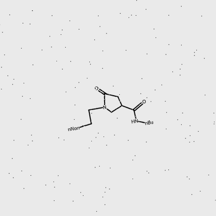 CCCCCCCCCCCN1CC(C(=O)NCCCC)CC1=O